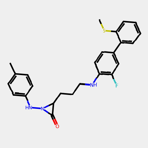 CSc1ccccc1-c1ccc(NCCCC2C(=O)N2Nc2ccc(C)cc2)c(F)c1